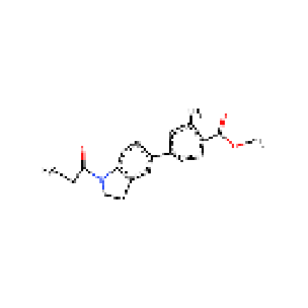 CCC(=O)N1CCc2cc(-c3ccc(C(=O)OC)c(C)c3)ccc21